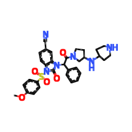 COc1ccc(S(=O)(=O)n2c(=O)n(C(C(=O)N3CC[C@@H](NC4CCNCC4)C3)c3ccccc3)c3cc(C#N)ccc32)cc1